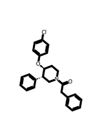 O=C(Cc1ccccc1)N1CC[C@H](Oc2ccc(Cl)cc2)[C@@H](c2ccccc2)C1